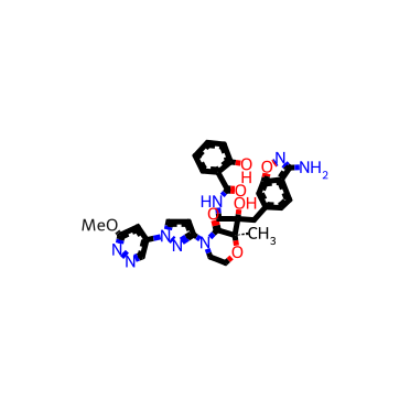 COc1cc(-n2ccc(N3CCO[C@](C)(C(O)(CNC(=O)c4ccccc4O)Cc4ccc5c(N)noc5c4)C3=O)n2)cnn1